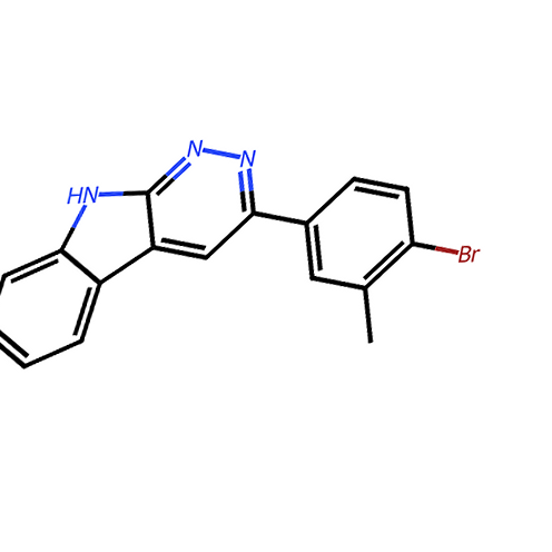 Cc1cc(-c2cc3c(nn2)[nH]c2ccccc23)ccc1Br